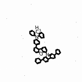 Cc1ccccc1N(c1ccccc1)c1ccc(-c2cccc3oc4c(-n5c6cc(-c7ccccc7)ccc6c6ccc(-c7ccccc7)cc65)cccc4c23)cc1